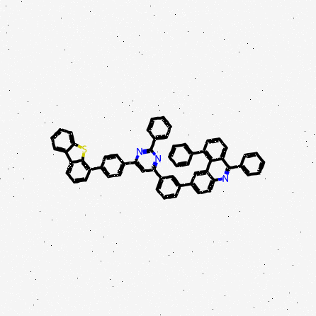 c1ccc(-c2nc(-c3ccc(-c4cccc5c4sc4ccccc45)cc3)cc(-c3cccc(-c4ccc5nc(-c6ccccc6)c6cccc(-c7ccccc7)c6c5c4)c3)n2)cc1